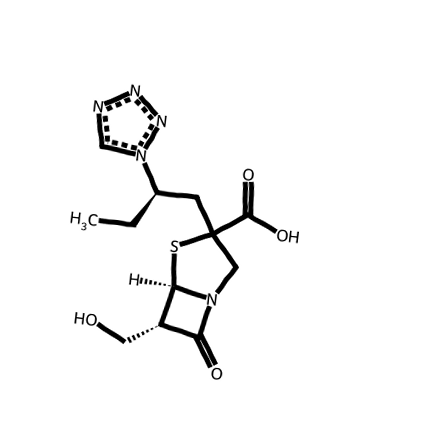 CC[C@H](CC1(C(=O)O)CN2C(=O)[C@H](CO)[C@H]2S1)n1cnnn1